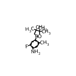 Cc1cc(N)c(F)cc1B1CC(C)(C)C(C)(C)O1